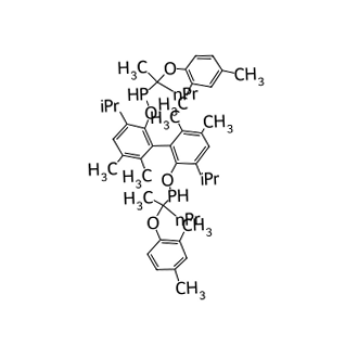 CCCC(C)(Oc1ccc(C)cc1C)POc1c(C(C)C)cc(C)c(C)c1-c1c(C)c(C)cc(C(C)C)c1OPC(C)(CCC)Oc1ccc(C)cc1C